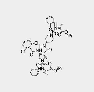 CC(C)OC(=O)[C@H](C)NP(=O)(Oc1ccccc1)N1CCC(NC(=O)c2nn(P(=O)(N[C@@H](C)C(=O)OC(C)C)Oc3ccccc3)cc2NC(=O)c2c(Cl)cccc2Cl)CC1